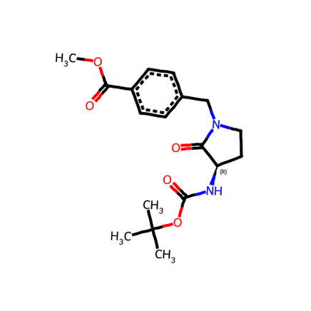 COC(=O)c1ccc(CN2CC[C@@H](NC(=O)OC(C)(C)C)C2=O)cc1